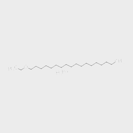 CCCCCCCCCCCCCCCCCCOCC.[PoH2]